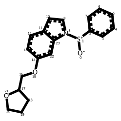 [O-][S+](c1ccccc1)n1ccc2ccc(OCC3CCCO3)cc21